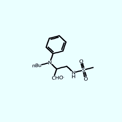 CCCCN(c1ccccc1)C([C]=O)CNS(C)(=O)=O